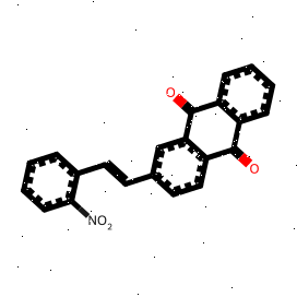 O=C1c2ccccc2C(=O)c2cc(C=Cc3ccccc3[N+](=O)[O-])ccc21